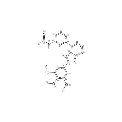 COc1cc(-c2cc3nccc(-c4cccc(NC(C)=O)c4)c3o2)cc(OC)c1OC